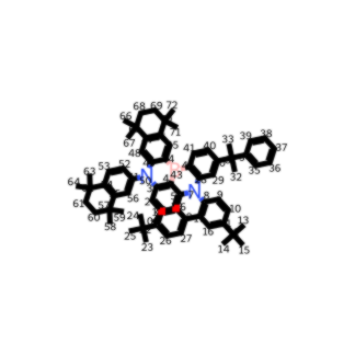 Cc1cc2c3c(c1)N(c1ccc(C(C)(C)C)cc1-c1ccc(C(C)(C)C)cc1)c1cc(C(C)(C)c4ccccc4)ccc1B3c1cc3c(cc1N2c1ccc2c(c1)C(C)(C)CCC2(C)C)C(C)(C)CCC3(C)C